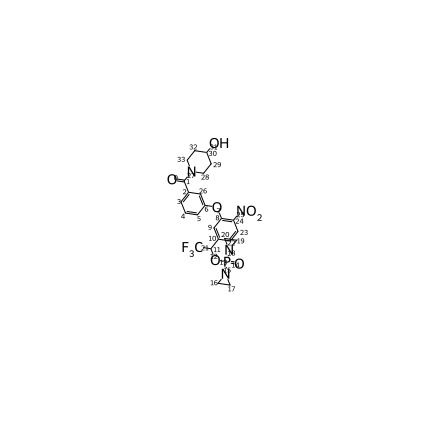 O=C(c1cccc(Oc2cc(C(OP(=O)(N3CC3)N3CC3)C(F)(F)F)ccc2[N+](=O)[O-])c1)N1CCC(O)CC1